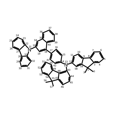 CC1(C)c2ccccc2-c2ccc(N(c3ccc(-c4cc(-n5c6ccccc6c6ccccc65)cc5ccccc45)cc3)c3cccc4c3-c3ccccc3C4(C)C)cc21